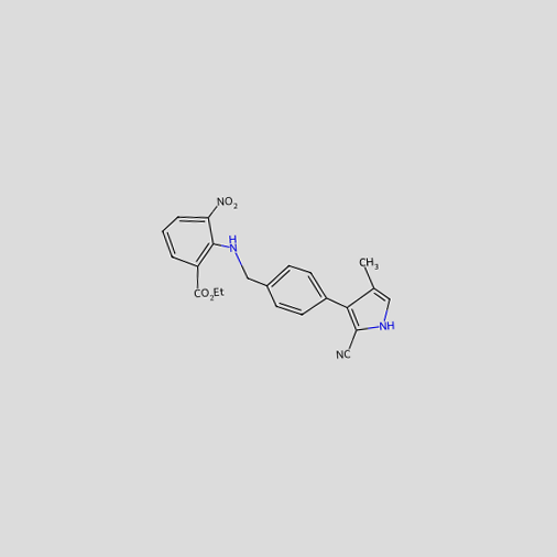 CCOC(=O)c1cccc([N+](=O)[O-])c1NCc1ccc(-c2c(C)c[nH]c2C#N)cc1